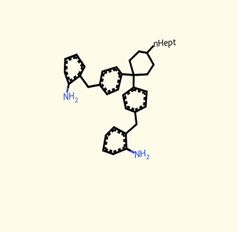 CCCCCCCC1CCC(c2ccc(Cc3ccccc3N)cc2)(c2ccc(Cc3ccccc3N)cc2)CC1